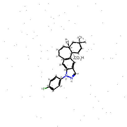 C[C@]1(C(F)(F)F)CC[C@@]2(C(=O)O)c3cc4cnn(-c5ccc(F)cc5)c4cc3CCC[C@@H]2C1